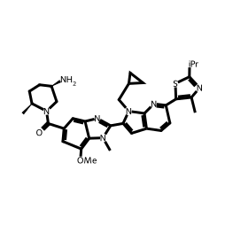 COc1cc(C(=O)N2C[C@H](N)CC[C@@H]2C)cc2nc(-c3cc4ccc(-c5sc(C(C)C)nc5C)nc4n3CC3CC3)n(C)c12